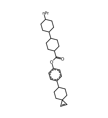 CCCC1CCC(C2CCC(C(=O)Oc3ccc(C4CCC5(C=C5)CC4)cc3)CC2)CC1